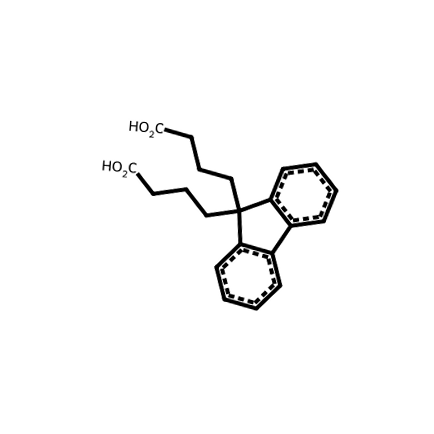 O=C(O)CCCC1(CCCC(=O)O)c2ccccc2-c2ccccc21